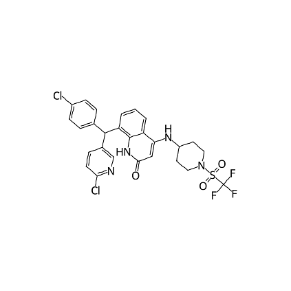 O=c1cc(NC2CCN(S(=O)(=O)C(F)(F)F)CC2)c2cccc(C(c3ccc(Cl)cc3)c3ccc(Cl)nc3)c2[nH]1